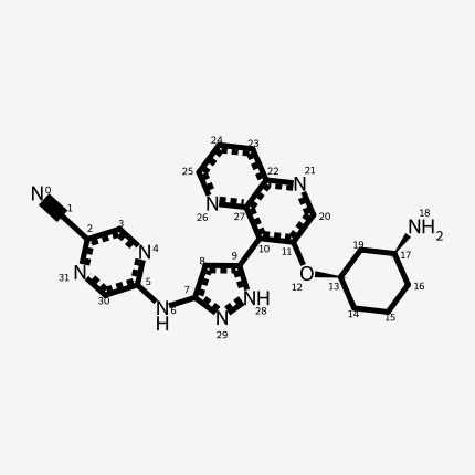 N#Cc1cnc(Nc2cc(-c3c(O[C@@H]4CCC[C@H](N)C4)cnc4cccnc34)[nH]n2)cn1